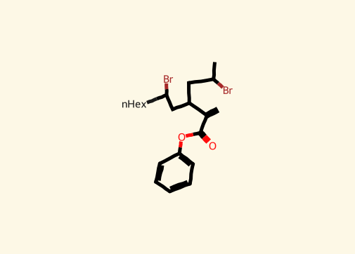 C=C(C(=O)Oc1ccccc1)C(CC(C)Br)CC(Br)CCCCCC